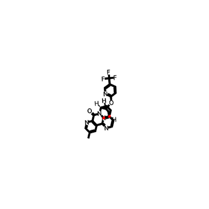 Cc1cnc(C(=O)N2C[C@@H]3CC[C@H]2[C@H](Oc2ccc(C(F)(F)F)cn2)C3)c(-c2ncccn2)c1